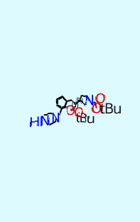 CC(C)(C)OC(=O)[C@@H](Cc1cccc(CN2CCNCC2)c1)[C@H]1CCN(C(=O)OC(C)(C)C)C1